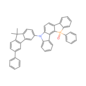 CC1(C)c2ccc(-c3ccccc3)cc2-c2cc(-n3c4ccccc4c4c5c(ccc43)-c3ccccc3P5(=O)c3ccccc3)ccc21